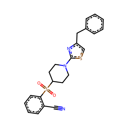 N#Cc1ccccc1S(=O)(=O)C1CCN(c2nc(Cc3ccccc3)cs2)CC1